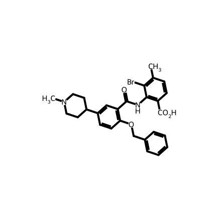 Cc1ccc(C(=O)O)c(NC(=O)c2cc(C3CCN(C)CC3)ccc2OCc2ccccc2)c1Br